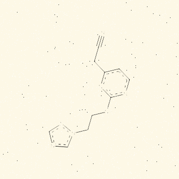 N#CCc1ccnc(NCCn2cncn2)n1